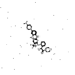 COc1cc(N2CCC(N(C)C)CC2)ccc1Nc1ncc(C(F)(F)F)c(Nc2ccccc2C(=O)C(=O)N2CCOCC2)n1